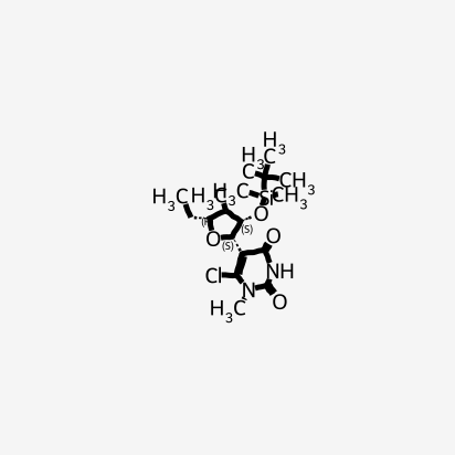 CC[C@H]1O[C@@H](c2c(Cl)n(C)c(=O)[nH]c2=O)[C@@H](O[Si](C)(C)C(C)(C)C)C1C